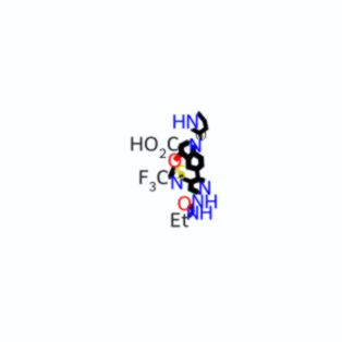 CCNC(=O)Nc1cc(-c2nc(C(F)(F)F)cs2)c(-c2ccc3c(c2)c(=O)c(C(=O)O)cn3C[C@@H]2CCCNC2)cn1